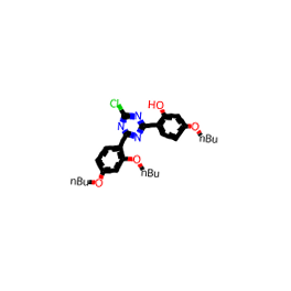 CCCCOc1ccc(-c2nc(Cl)nc(-c3ccc(OCCCC)cc3OCCCC)n2)c(O)c1